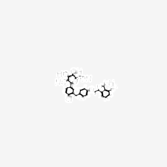 CC1OC(COc2ccc(Cc3cc([C@@H]4O[C@H](CO)[C@@H](O)[C@H](O)[C@H]4O)ccc3Cl)cc2)c2cccc(F)c21